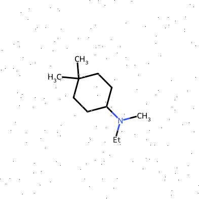 CCN(C)C1CCC(C)(C)CC1